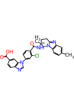 Cc1ccc2c(c1)nc1n2C[C@](C)(NC(=O)c2ccc(-n3cnc4ccc(C(=O)O)cc43)cc2Cl)CC1